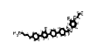 CCCCCC1CCC(c2ccc(C3CCC(C4CCC(C(F)(F)Oc5ccc(OCCF)c(F)c5)CC4)CC3)c(F)c2)CC1